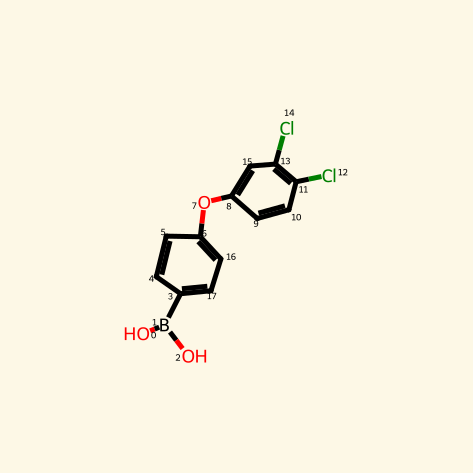 OB(O)c1ccc(Oc2ccc(Cl)c(Cl)c2)cc1